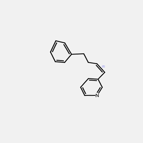 C(=C/c1cccnc1)/CCc1ccccc1